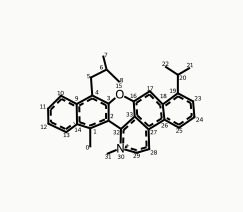 Cc1c2c(c(CC(C)C)c3ccccc13)Oc1cc3c(C(C)C)cccc3c3cc[n+](C)c-2c13